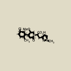 COc1cn(C(Cc2ccn(C)n2)C(=O)O)c(=O)cc1-c1cc(Cl)ccc1C